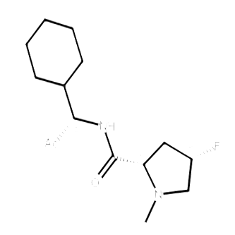 CC(=O)[C@@H](NC(=O)[C@@H]1C[C@H](F)CN1C)C1CCCCC1